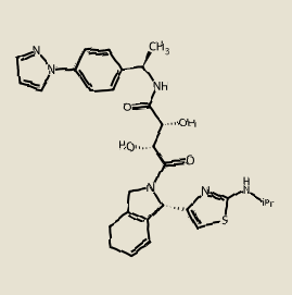 CC(C)Nc1nc([C@@H]2C3=C(CCC=C3)CN2C(=O)[C@H](O)[C@@H](O)C(=O)N[C@H](C)c2ccc(-n3cccn3)cc2)cs1